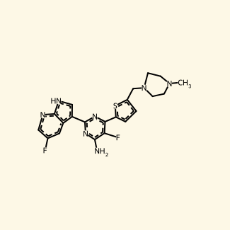 CN1CCN(Cc2ccc(-c3nc(-c4c[nH]c5ncc(F)cc45)nc(N)c3F)s2)CC1